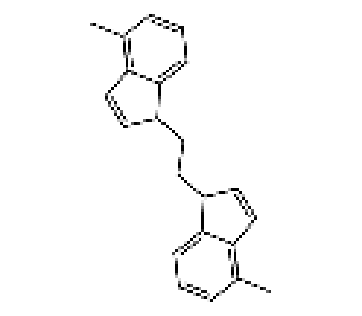 Cc1cccc2c1C=CC2CCC1C=Cc2c(C)cccc21